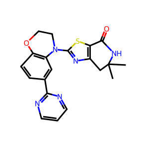 CC1(C)Cc2nc(N3CCOc4ccc(-c5ncccn5)cc43)sc2C(=O)N1